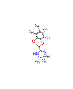 [2H]c1c([2H])c([2H])c2c(c1[2H])OCC(C1=NC([2H])([2H])C([2H])N1)O2